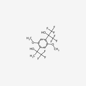 COc1cc(C(O)(C(F)(F)F)C(F)(F)F)c(OC)cc1C(C)(O)C(F)(F)F